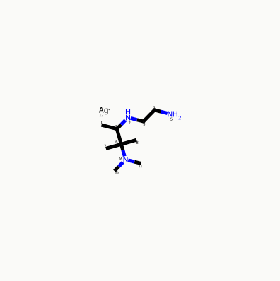 CC(NCCN)C(C)(C)N(C)C.[Ag]